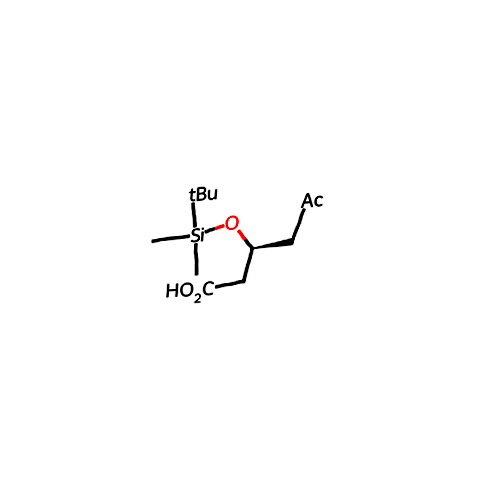 CC(=O)C[C@@H](CC(=O)O)O[Si](C)(C)C(C)(C)C